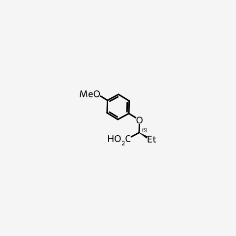 CC[C@H](Oc1ccc(OC)cc1)C(=O)O